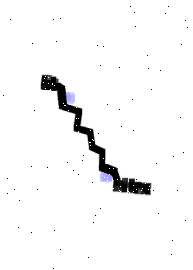 [CH2]C/C=C/CCCCC/C=C/CCCCCC